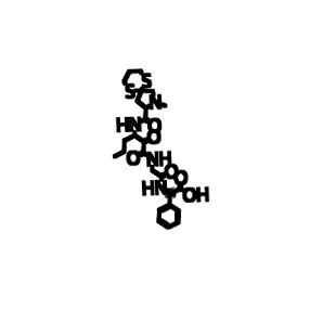 CCCC(NC(=O)C1CC2(CN1C)SCCCS2)C(=O)C(=O)NCC(=O)N[C@H](C(=O)O)c1ccccc1